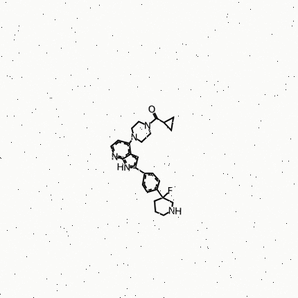 O=C(C1CC1)N1CCN(c2ccnc3[nH]c(-c4ccc(C5(F)CCCNC5)cc4)cc23)CC1